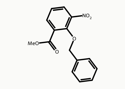 COC(=O)c1cccc([N+](=O)[O-])c1OCc1ccccc1